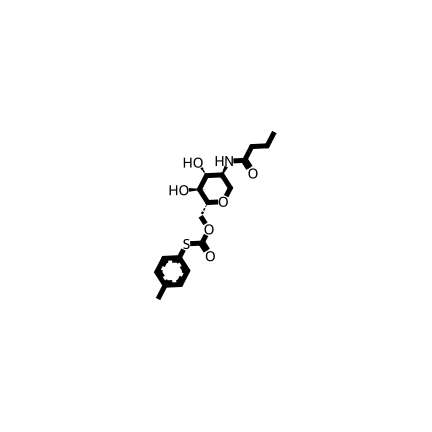 CCCC(=O)N[C@H]1CO[C@H](COC(=O)Sc2ccc(C)cc2)[C@@H](O)[C@@H]1O